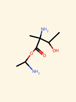 CC(N)OC(=O)C(C)(N)C(C)O